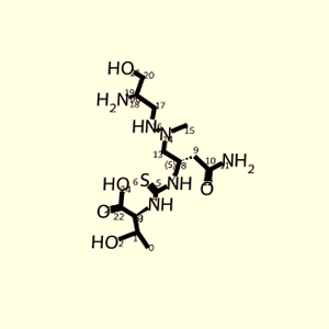 CC(O)[C@H](NC(=S)N[C@@H](CC(N)=O)CN(C)NC[C@@H](N)CO)C(=O)O